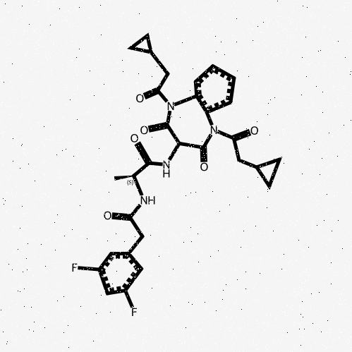 C[C@H](NC(=O)Cc1cc(F)cc(F)c1)C(=O)NC1C(=O)N(C(=O)CC2CC2)c2ccccc2N(C(=O)CC2CC2)C1=O